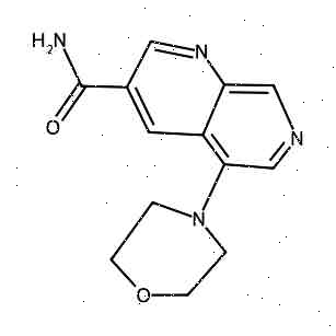 NC(=O)c1cnc2cncc(N3CCOCC3)c2c1